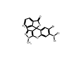 CCN(CC)c1cc2c(cc1Br)C1(OC(=O)c3ccccc31)c1c(C)nn(C)c1O2